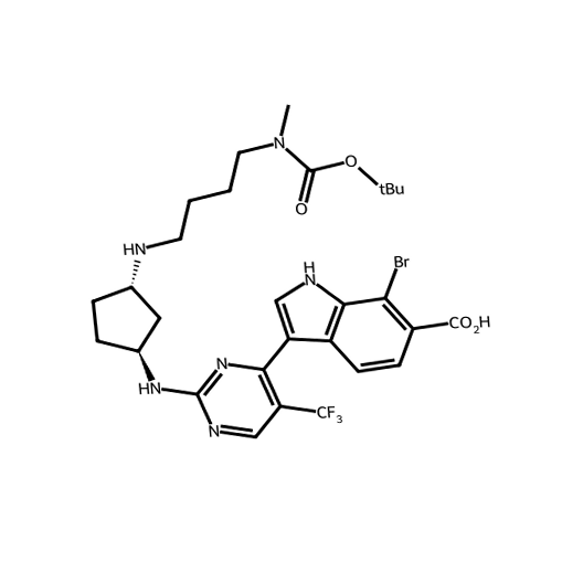 CN(CCCCN[C@H]1CC[C@H](Nc2ncc(C(F)(F)F)c(-c3c[nH]c4c(Br)c(C(=O)O)ccc34)n2)C1)C(=O)OC(C)(C)C